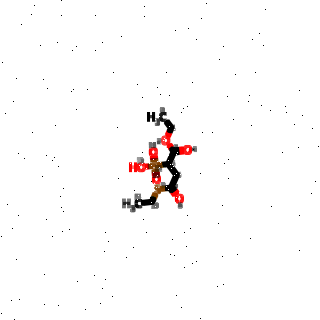 CCOC(=O)C(CC(=O)SCC)S(=O)(=O)O